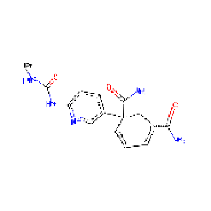 CC(C)NC(=O)Nc1ccc(C2(C(N)=O)C=CC=C(C(N)=O)C2)cn1